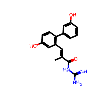 C/C(=C\c1cc(O)ccc1-c1cccc(O)c1)C(=O)NC(=N)N